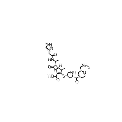 CC(NC(=O)Cn1cnnn1)[C@H]1C(=O)N2C(C(=O)O)=C(S[C@@H]3CN[C@H](C(=O)N4CCO[C@H](CN)C4)C3)[C@H](C)[C@H]12